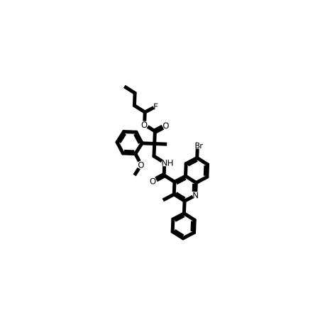 CCCC(F)OC(=O)C(C)(CNC(=O)c1c(C)c(-c2ccccc2)nc2ccc(Br)cc12)c1ccccc1OC